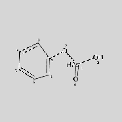 O=[AsH](O)Oc1ccccc1